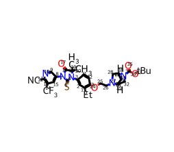 CCc1cc(N2C(=S)N(c3cnc(C#N)c(C(F)(F)F)c3)C(=O)C2(C)C)ccc1OCCN1C[C@@H]2C[C@H]1CN2C(=O)OC(C)(C)C